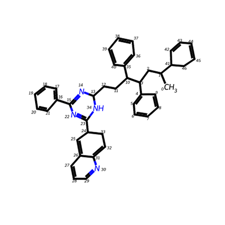 CC(CC(c1ccccc1)C(CCC1N=C(c2ccccc2)N=C(C2C=c3cccnc3=CC2)N1)c1ccccc1)C1C=CC=CC1